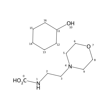 O=C(O)NCCN1CCOCC1.OC1CCCCC1